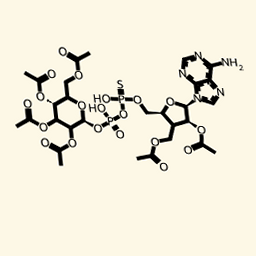 CC(=O)OCC1O[C@@H](OP(=O)(O)OP(O)(=S)OC[C@H]2O[C@@H](n3cnc4c(N)ncnc43)[C@@H](OC(C)=O)C2COC(C)=O)C(OC(C)=O)C(OC(C)=O)[C@@H]1OC(C)=O